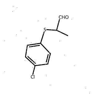 CC(C=O)Sc1ccc(Cl)cc1